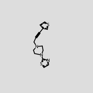 C(#Cc1ccsc1)CN1CCN(c2nccs2)CC1